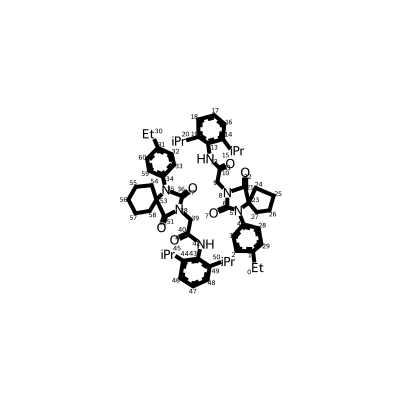 CCc1ccc(N2C(=O)N(CC(=O)Nc3c(C(C)C)cccc3C(C)C)C(=O)C23CCCC3)cc1.CCc1ccc(N2C(=O)N(CC(=O)Nc3c(C(C)C)cccc3C(C)C)C(=O)C23CCCCC3)cc1